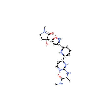 CNC(=O)C(C)Nc1nccc(-c2cccc(-c3cc(C4(O)CCN(C)C4=O)on3)n2)n1